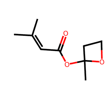 CC(C)=CC(=O)OC1(C)CCO1